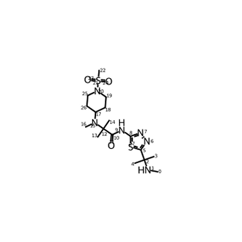 CNC(C)(C)c1nnc(NC(=O)C(C)(C)N(C)C2CCN(S(C)(=O)=O)CC2)s1